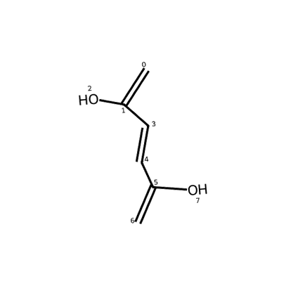 C=C(O)/C=C/C(=C)O